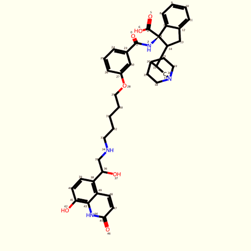 O=C(N[C@@]1(C(=O)O)c2ccccc2CC1C1CN2CCC1CC2)c1cccc(OCCCCCNCC(O)c2ccc(O)c3[nH]c(=O)ccc23)c1